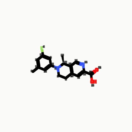 Cc1cc(F)cc(N2CCc3cc(C(=O)O)ncc3[C@H]2C)c1